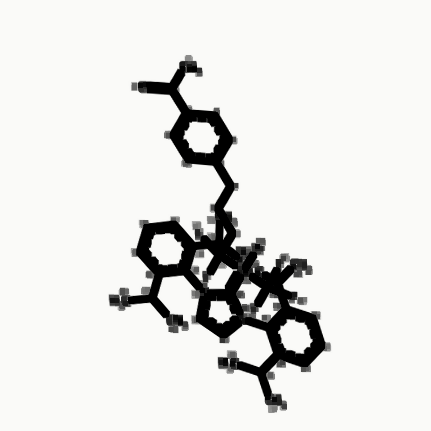 CC(=O)c1ccc(CCC[C](F)(F)[Au]([Br])(=[c]2n(-c3c(C(C)C)cccc3C(C)C)ccn2-c2c(C(C)C)cccc2C(C)C)[C](F)(F)F)cc1